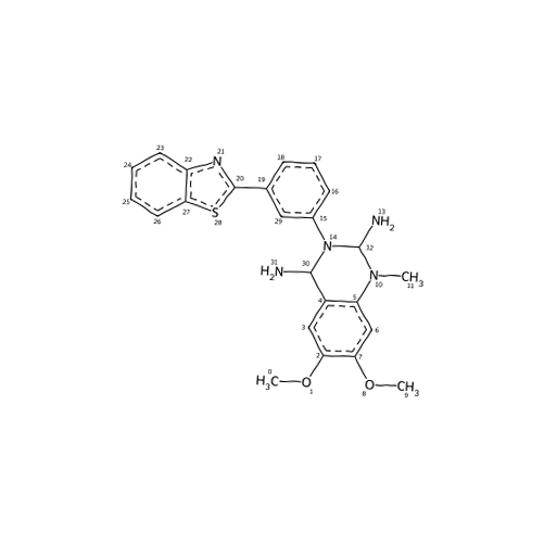 COc1cc2c(cc1OC)N(C)C(N)N(c1cccc(-c3nc4ccccc4s3)c1)C2N